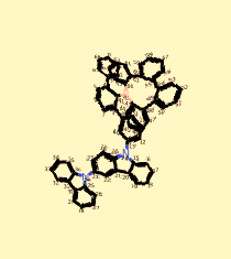 c1ccc(-c2cccc(-c3cccc(-n4c5ccccc5c5cc(-n6c7ccccc7c7ccccc76)ccc54)c3)c2B2c3ccccc3-c3ccccc3-c3ccccc3-c3ccccc32)cc1